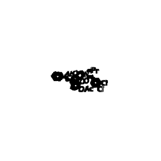 CC(=O)Oc1ccc2c3c1OC1C(N(CC(C)C)C(=O)Cc4ccc(Cl)c(Cl)c4)CC[C@@]4(OC(C)=O)[C@@H](C2)N(CCc2ccccc2)CC[C@]314